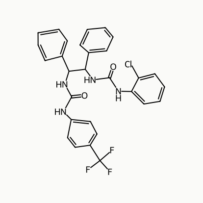 O=C(Nc1ccc(C(F)(F)F)cc1)NC(c1ccccc1)C(NC(=O)Nc1ccccc1Cl)c1ccccc1